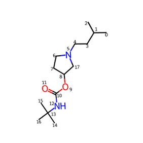 CC(C)CCN1CCC(OC(=O)NC(C)(C)C)C1